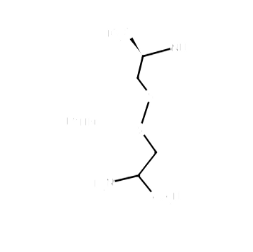 Br.Br.NC(CSSC[C@H](N)C(=O)O)C(=O)O